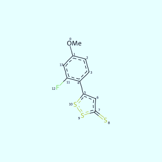 COc1ccc(-c2cc(=S)ss2)c(F)c1